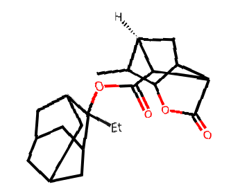 CCC1(OC(=O)C2C3C(=O)OC4C3C[C@@H]2C4C)C2CC3CC(C2)CC1C3